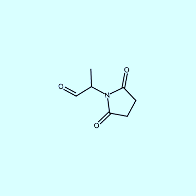 CC(C=O)N1C(=O)CCC1=O